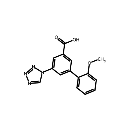 COc1ccccc1-c1cc(C(=O)O)cc(-n2cnnn2)c1